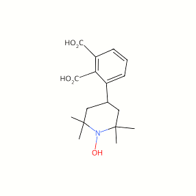 CC1(C)CC(c2cccc(C(=O)O)c2C(=O)O)CC(C)(C)N1O